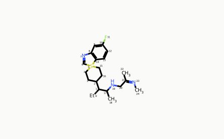 CCC(C1CCS2(C=Nc3cc(F)ccc32)CC1)C(C)NC/C(C)=N\C